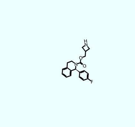 O=C(OCC1CNC1)N1CCc2ccccc2[C@@H]1c1ccc(F)cc1